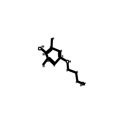 Cc1cc(OCCCBr)cc(C)c1Cl